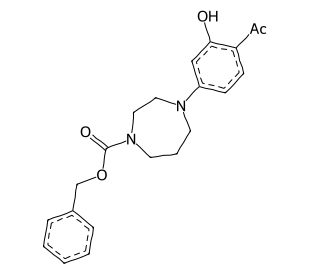 CC(=O)c1ccc(N2CCCN(C(=O)OCc3ccccc3)CC2)cc1O